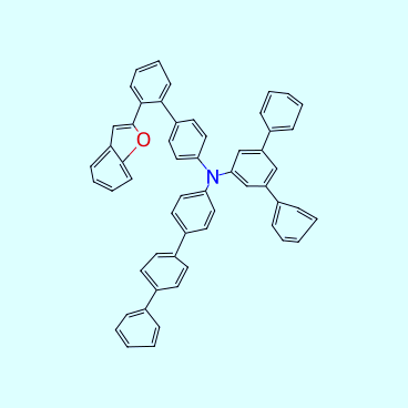 c1ccc(-c2ccc(-c3ccc(N(c4ccc(-c5ccccc5-c5cc6ccccc6o5)cc4)c4cc(-c5ccccc5)cc(-c5ccccc5)c4)cc3)cc2)cc1